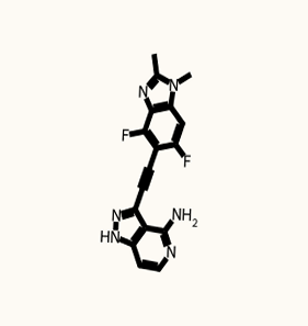 Cc1nc2c(F)c(C#Cc3n[nH]c4ccnc(N)c34)c(F)cc2n1C